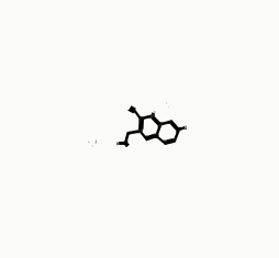 C#Cc1c(CC(=O)OC)cc2ccc(F)cc2c1OC(C)=O